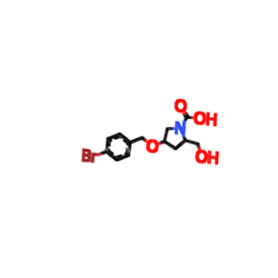 O=C(O)N1CC(OCc2ccc(Br)cc2)CC1CO